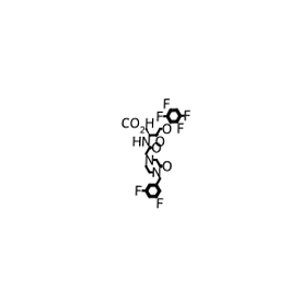 O=C(O)C[C@H](NC(=O)CN1CCN(Cc2cc(F)cc(F)c2)C(=O)C1)C(=O)COc1c(F)c(F)cc(F)c1F